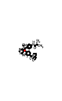 C=C(C)C(=O)Nc1ccc(-c2c(C3=CCC(C(=O)N4CCCC45CCOC5)CC3)c3c(N)ncnc3n2C)cc1